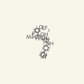 CO[C@@H](c1cc(OC(F)(F)F)ccc1F)C(O)Nc1nnc(N[C@H]2CC[C@H](c3cccnn3)CC2)s1